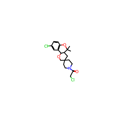 CC1(C)Oc2ccc(Cl)cc2C2OCC3(CCN(C(=O)CCl)CC3)CC21